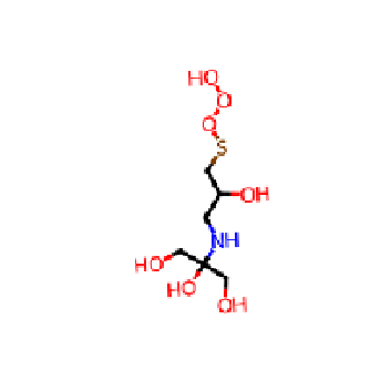 OCC(O)(CO)NCC(O)CSOOO